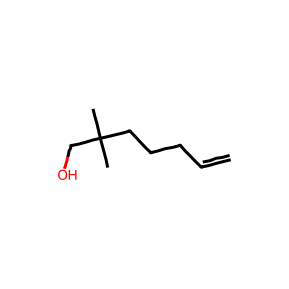 C=CCCCC(C)(C)CO